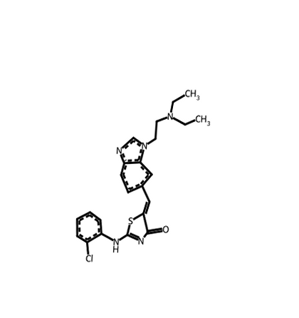 CCN(CC)CCn1cnc2ccc(/C=C3\SC(Nc4ccccc4Cl)=NC3=O)cc21